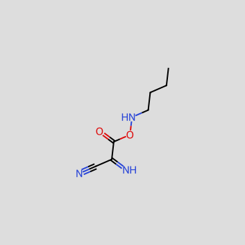 CCCCNOC(=O)C(=N)C#N